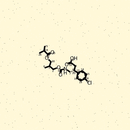 CC(COC(=O)NC[C@H](CC(=O)O)c1ccc(Cl)cc1)COC(=O)C(C)C